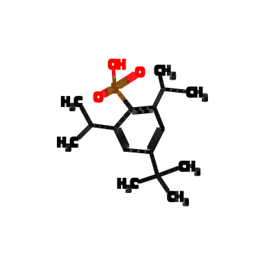 CC(C)c1cc(C(C)(C)C)cc(C(C)C)c1S(=O)(=O)O